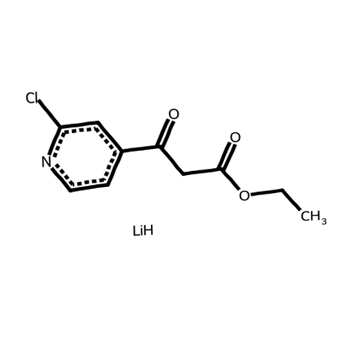 CCOC(=O)CC(=O)c1ccnc(Cl)c1.[LiH]